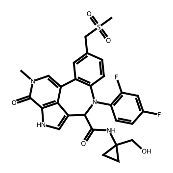 Cn1cc2c3c(c[nH]c3c1=O)C(C(=O)NC1(CO)CC1)N(c1ccc(F)cc1F)c1ccc(CS(C)(=O)=O)cc1-2